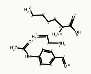 C=CCN.CC(=O)Nc1ccc(C=O)cc1.NCCCC[C@H](N)C(=O)O